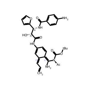 C=C/C=c1/cc(NC(=O)[C@H](O)[C@@H](NC(=O)c2ccc(N)cc2)c2ccco2)cc/c1=C(/N)N(C(C)=O)C(=O)OC(C)(C)C